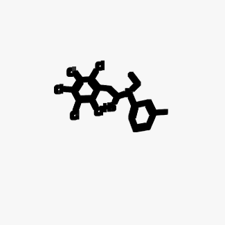 CCN(c1cccc(C)c1)C(S)Cc1c(Cl)c(Cl)c(Cl)c(Cl)c1Cl